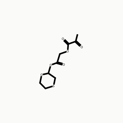 CC(=O)C(=O)OCC(=O)OC1CSCCO1